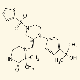 CC(C)(O)c1ccc(N2CCN(S(=O)(=O)c3cccs3)C[C@@H]2CN2CCNC(=O)C2(C)C)cc1